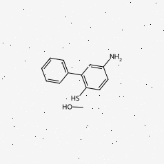 CO.Nc1ccc(S)c(-c2ccccc2)c1